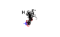 CC(C)CCC[C@@H](C)[C@H]1CCC2C3CC=C4CC(Oc5ccc(C6=CC(=O)NC6=O)cc5)CC[C@]4(C)C3CC[C@@]21C